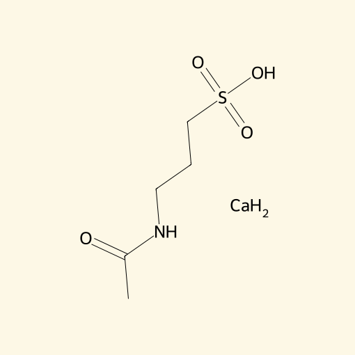 CC(=O)NCCCS(=O)(=O)O.[CaH2]